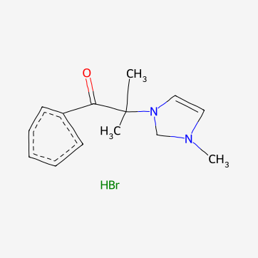 Br.CN1C=CN(C(C)(C)C(=O)c2ccccc2)C1